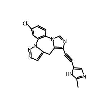 Cc1ncc(C#Cc2ncn3c2Cc2cnnn2-c2cc(Cl)ccc2-3)[nH]1